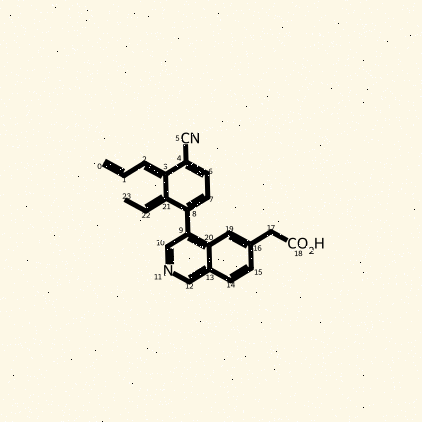 C=C/C=c1/c(C#N)ccc(-c2cncc3ccc(CC(=O)O)cc23)/c1=C/C